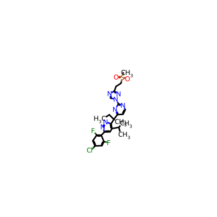 CC[C@@](C)(c1ccnc(-n2cnc(CCS(C)(=O)=O)n2)n1)c1nnc(-c2c(F)cc(Cl)cc2F)cc1C(C)C